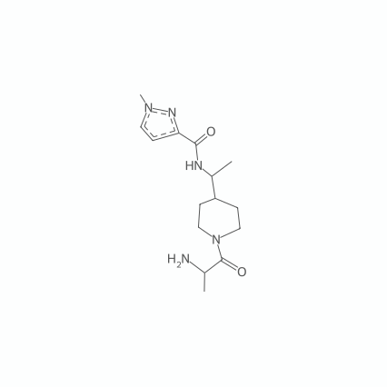 CC(N)C(=O)N1CCC(C(C)NC(=O)c2ccn(C)n2)CC1